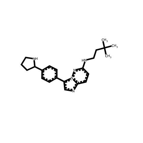 CC(C)(C)CCNc1ccc2ncc(-c3ccc(C4CCCN4)cc3)n2n1